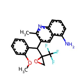 COc1ccccc1C(c1cc2c(N)cccc2nc1C)C1(C(F)(F)F)CO1